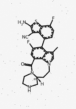 Cc1cn2c3c(cc(F)c(-c4ccc(F)c5sc(N)c(C#N)c45)c13)C(=O)N1CCNC[C@H]1CC2